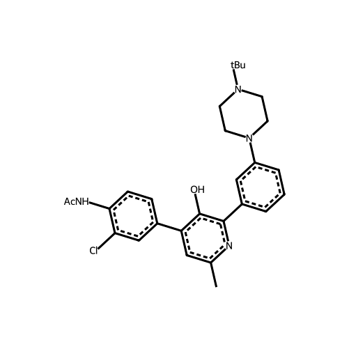 CC(=O)Nc1ccc(-c2cc(C)nc(-c3cccc(N4CCN(C(C)(C)C)CC4)c3)c2O)cc1Cl